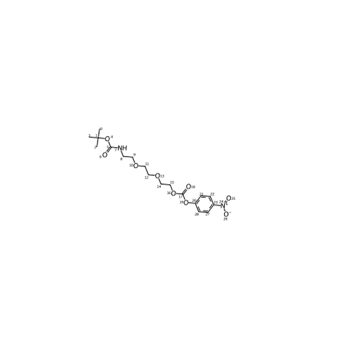 CC(C)(C)OC(=O)NCCOCCOCCOC(=O)Oc1ccc([N+](=O)[O-])cc1